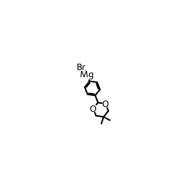 CC1(C)COC(c2cc[c]([Mg][Br])cc2)OC1